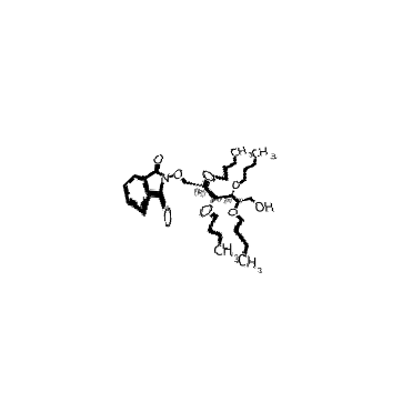 CCCCO[C@@H]([C@H](OCCCC)[C@@H](CON1C(=O)c2ccccc2C1=O)OCCCC)[C@@H](CO)OCCCC